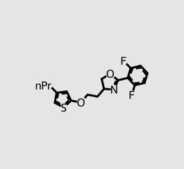 CCCc1csc(OCCC2COC(c3c(F)cccc3F)=N2)c1